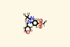 CCS(=O)(=O)c1ccc2c(c1)nc(C(C)(C)C)n2CC1CCOCC1